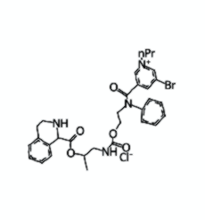 CCC[n+]1cc(Br)cc(C(=O)N(CCOC(=O)NCC(C)OC(=O)C2NCCc3ccccc32)c2ccccc2)c1.[Cl-]